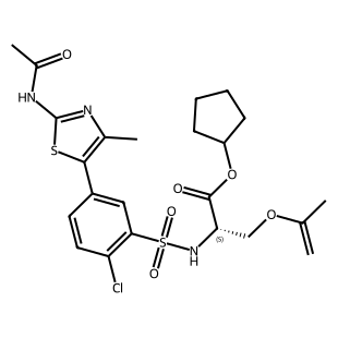 C=C(C)OC[C@H](NS(=O)(=O)c1cc(-c2sc(NC(C)=O)nc2C)ccc1Cl)C(=O)OC1CCCC1